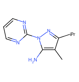 Cc1c(C(C)C)nn(-c2ncccn2)c1N